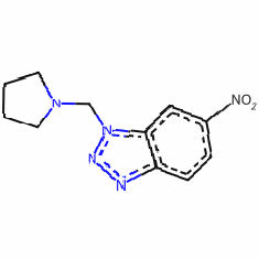 O=[N+]([O-])c1ccc2nnn(CN3CCCC3)c2c1